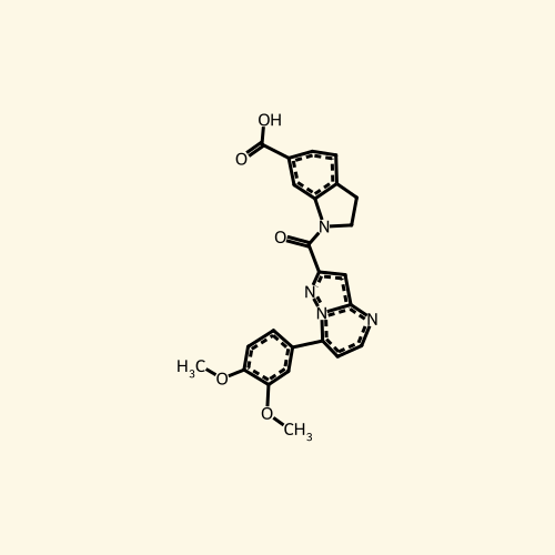 COc1ccc(-c2ccnc3cc(C(=O)N4CCc5ccc(C(=O)O)cc54)nn23)cc1OC